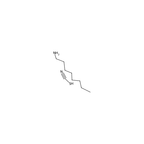 CCCCCCCCN.N#CS